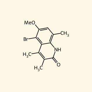 COc1cc(C)c2[nH]c(=O)c(C)c(C)c2c1Br